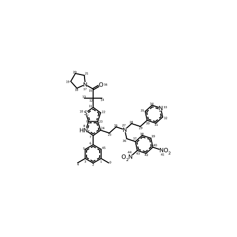 Cc1cc(C)cc(-c2[nH]c3sc(C(C)(C)C(=O)N4CCCC4)cc3c2CCN(CCc2ccncc2)Cc2ccc([N+](=O)[O-])cc2[N+](=O)[O-])c1